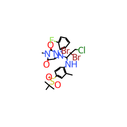 Cc1cc(S(=O)(=O)C(C)(C)C)ccc1NC(N1C2C(=O)N(C)C(=O)[N+]21c1ccccc1F)C(Br)(Br)CCl